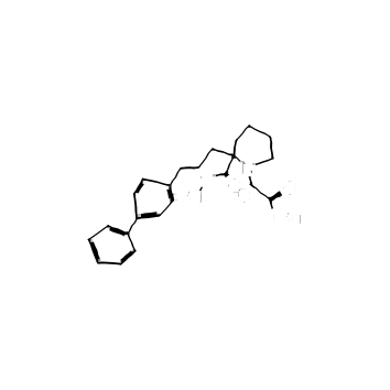 CCCCOC(=O)C1(CCCc2ccc(-c3ccccc3)cc2)CCCCN1C(=O)C(=O)C(C)(C)C